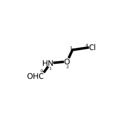 O=CNOCCl